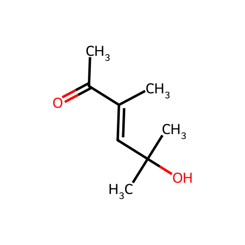 CC(=O)/C(C)=C/C(C)(C)O